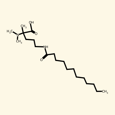 CCCCCCCCCCCC(=O)NCCCC(C)(C(=O)O)N(C)C